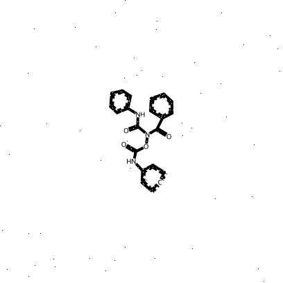 O=C(Nc1ccccc1)ON(C(=O)Nc1ccccc1)C(=O)c1ccccc1